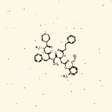 CCSSc1cccc(C)c1OC(=O)C[C@H](NC(=O)CCc1ccccc1)C(=O)N(C)C(Cc1ccccc1)C(=O)N[C@@H](C)C(=O)N1CCCCC1